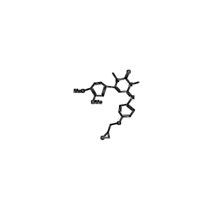 COc1ccc(-c2cc(=Nc3ccc(OCC4CO4)cc3)n(C)c(=O)n2C)cc1OC